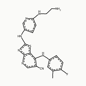 Cc1cc(Nc2c(C#N)cnc3nc(Nc4ccc(NCCN)nc4)sc23)ccc1F